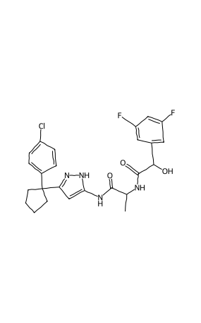 CC(NC(=O)C(O)c1cc(F)cc(F)c1)C(=O)Nc1cc(C2(c3ccc(Cl)cc3)CCCC2)n[nH]1